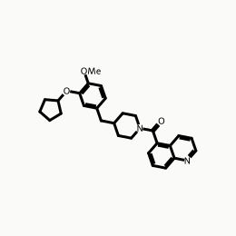 COc1ccc(CC2CCN(C(=O)c3cccc4ncccc34)CC2)cc1OC1CCCC1